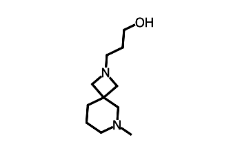 CN1CCCC2(C1)CN(CCCO)C2